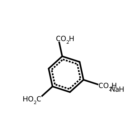 O=C(O)c1cc(C(=O)O)cc(C(=O)O)c1.[NaH]